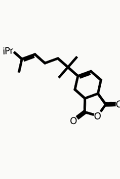 C/C(=C\CCC(C)(C)C1=CCC2C(=O)OC(=O)C2C1)C(C)C